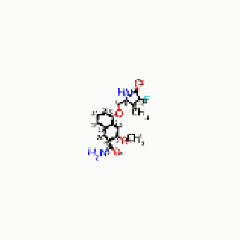 COc1cc2c(OCC3NC(=O)C(F)C3C)cccc2cc1C(N)=O